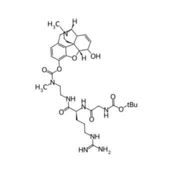 CN(CCNC(=O)[C@H](CCCNC(=N)N)NC(=O)CNC(=O)OC(C)(C)C)C(=O)Oc1ccc2c3c1O[C@H]1C(O)C=CC4[C@@H](C2)N(C)CC[C@@]341